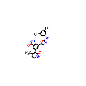 Cc1cc(C)cc(Nc2ncc(-c3cc(C(N)=O)cc(-c4c(C)cc[nH]c4=O)c3)o2)c1